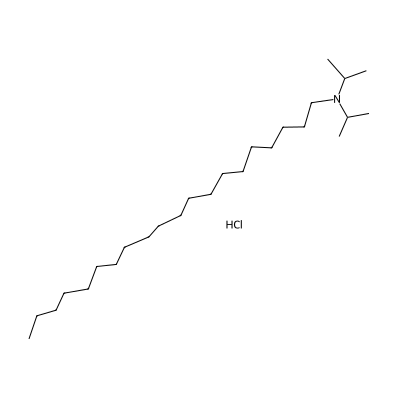 CCCCCCCCCCCCCCCCCCCCN(C(C)C)C(C)C.Cl